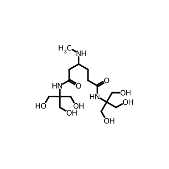 CNC(CCC(=O)NC(CO)(CO)CO)CC(=O)NC(CO)(CO)CO